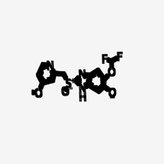 COc1ccnc(C[S+]([O-])c2nc3cc(OC(F)F)c(OC)cc3[nH]2)c1